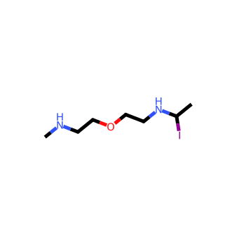 CNCCOCCNC(C)I